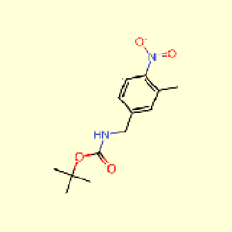 Cc1cc(CNC(=O)OC(C)(C)C)c[c]c1[N+](=O)[O-]